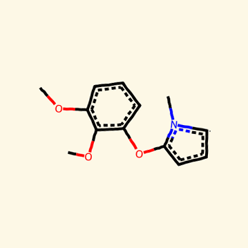 COc1cccc(Oc2cc[c]n2C)c1OC